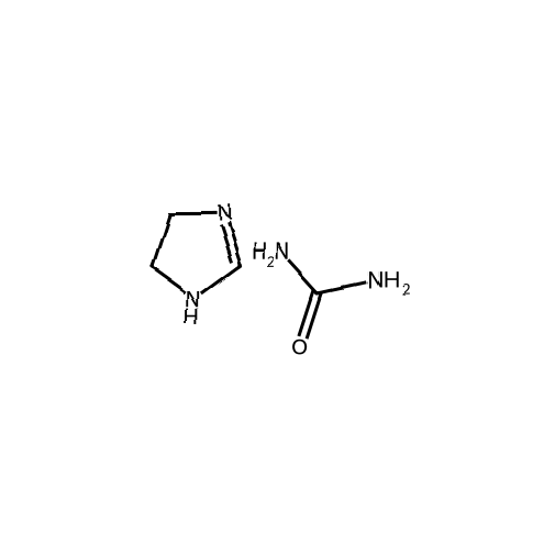 C1=NCCN1.NC(N)=O